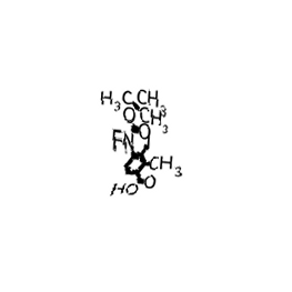 Cc1c(C(=O)O)ccc(N(F)C(=O)OC(C)(C)C)c1I